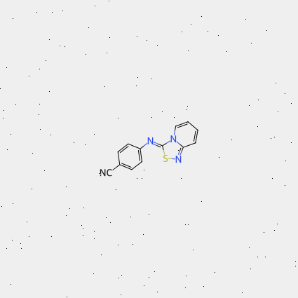 N#Cc1ccc(N=c2snc3ccccn23)cc1